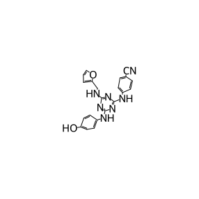 N#Cc1ccc(Nc2nc(NCc3ccco3)nc(Nc3ccc(O)cc3)n2)cc1